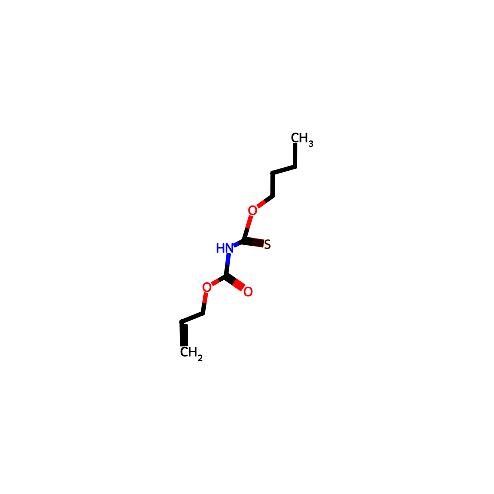 C=CCOC(=O)NC(=S)OCCCC